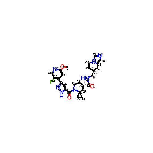 COc1cc(-c2cc(C(=O)N3CC[C@H](C(=O)NC[C@H]4CCn5cncc5C4)CC34CC4)[nH]n2)c(F)cn1